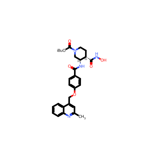 Cc1cc(COc2ccc(C(=O)N[C@@H]3CN(C(=O)OCC(C)C)CC[C@@H]3C(=O)NO)cc2)c2ccccc2n1